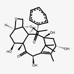 CC(=O)O[C@@]12CO[C@@H]1C[C@H](O)[C@@]1(C)C(=O)[C@H](O)C3=C(C)[C@@H](O)C[C@@](O)([C@@H](c4ccccc4)[C@H]21)C3(C)C